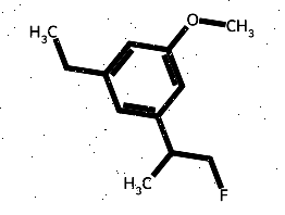 CCc1cc(OC)cc([C](C)CF)c1